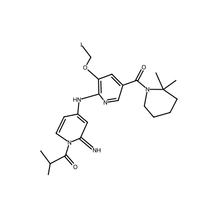 CC(C)C(=O)n1ccc(Nc2ncc(C(=O)N3CCCCC3(C)C)cc2OCI)cc1=N